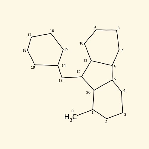 CC1CCCC2C3CCCCC3C(CC3CCCCC3)C12